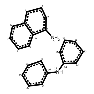 Nc1cccc2ccccc12.c1ccc(Nc2ccccc2)cc1